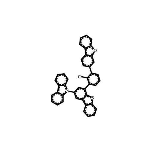 Clc1c(-c2ccc3c(c2)oc2ccccc23)cccc1-c1cc(-n2c3ccccc3c3ccccc32)cc2c1sc1ccccc12